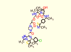 Cc1ncsc1-c1ccc([C@H](C)NC(=O)[C@@H]2C[C@@H](O)CN2C(=O)[C@@H](NC(=O)COC[C@H](O)CN2CCN(C(=O)C[C@@H]3N=C(c4ccc(Cl)cc4)c4c(sc(C)c4C)-n4c(C)nnc43)CC2)C(C)(C)C)cc1